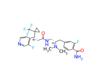 CN(C)[C@H](CNC(=O)C[C@H](c1ccncc1F)C1(C(F)(F)F)CC1)Cc1ccc(C(N)=O)c(F)c1